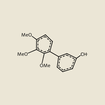 [CH]c1cccc(-c2ccc(OC)c(OC)c2OC)c1